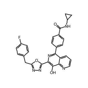 O=C(NC1CC1)c1ccc(-c2nc(-c3nnc(Cc4ccc(F)cc4)o3)c(O)c3ncccc23)cc1